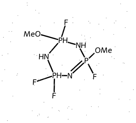 COP1(F)=N[PH](F)(F)N[PH](F)(OC)N1